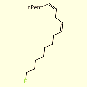 CCCCC/C=C\C/C=C\CCCCCCCF